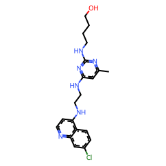 Cc1cc(NCCNc2ccnc3cc(Cl)ccc23)nc(NCCCCO)n1